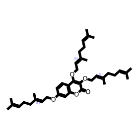 CC(C)=CCC/C(C)=C/COc1ccc2c(OC/C=C(\C)CCC=C(C)C)c(OC/C=C(\C)CCC=C(C)C)c(=O)oc2c1